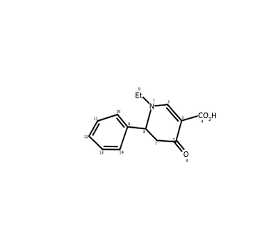 CCN1C=C(C(=O)O)C(=O)CC1c1ccccc1